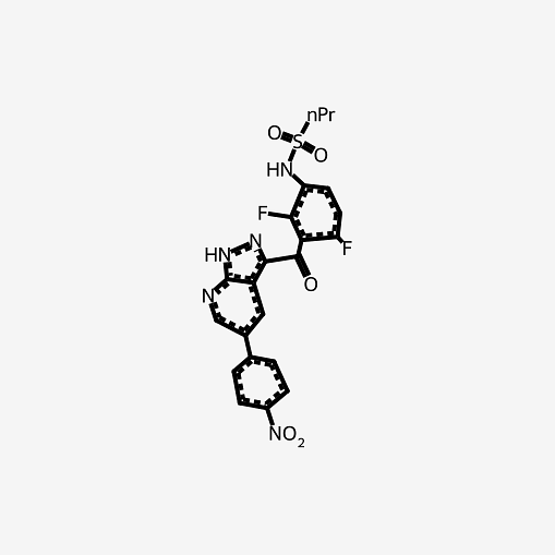 CCCS(=O)(=O)Nc1ccc(F)c(C(=O)c2n[nH]c3ncc(-c4ccc([N+](=O)[O-])cc4)cc23)c1F